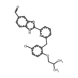 CC(C)COc1ccc(Cl)cc1Cc1cccc(-c2nc3cc(C=O)ccc3[nH]2)n1